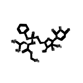 CCOC(=O)[C@H](CC(C)C)N[P@@](=O)(OC[C@H]1O[C@@H](n2ccc(=O)[nH]c2=O)[C@](C)(Cl)[C@@H]1O)Oc1ccccc1